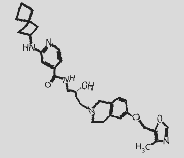 Cc1ncoc1COc1ccc2c(c1)CCN(C[C@@H](O)CNC(=O)c1ccnc(NC3CC4(CCC4)C3)c1)C2